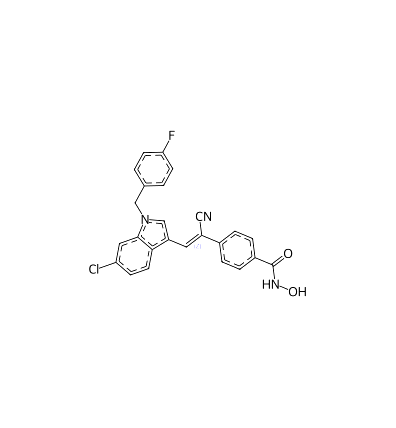 N#C/C(=C\c1cn(Cc2ccc(F)cc2)c2cc(Cl)ccc12)c1ccc(C(=O)NO)cc1